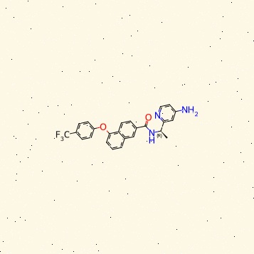 C[C@@H](NC(=O)c1ccc2c(Oc3ccc(C(F)(F)F)cc3)cccc2c1)c1cc(N)ccn1